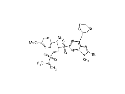 CCc1nc2c(C3CNCCO3)nc(S(=O)(=O)C(C=CS(=O)(=O)N(C)C)C(N)c3ccc(OC)cc3)nc2n1C